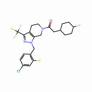 O=C(CC1CCC(F)CC1)N1CCc2c(C(F)(F)F)nn(Cc3ccc(Cl)cc3F)c2C1